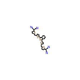 N#CC(C#N)=c1cc/c(=C/c2ccc(-c3sc(-c4ccc(/C=c5/ccc(=C(C#N)C#N)s5)s4)c4ccccc34)s2)s1